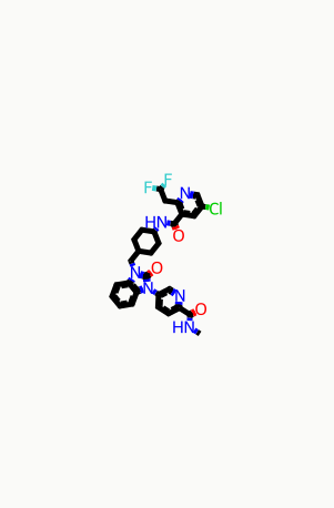 CNC(=O)c1ccc(-n2c(=O)n(CC3CCC(NC(=O)c4cc(Cl)cnc4CC(F)F)CC3)c3ccccc32)cn1